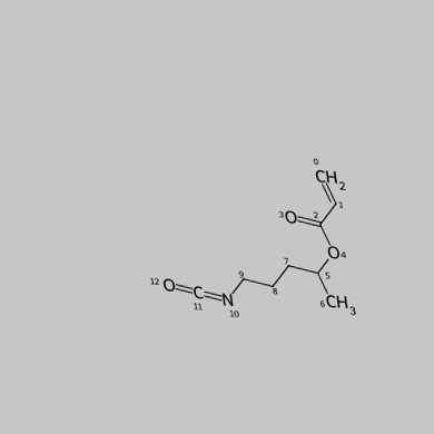 C=CC(=O)OC(C)CCCN=C=O